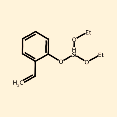 C=Cc1ccccc1O[SiH](OCC)OCC